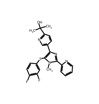 Cn1c(-c2ccccn2)nc(-c2ccc(C(C)(C)O)nc2)c1Sc1ccc(F)c(F)c1